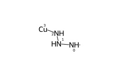 [NH]N[NH][Cu]